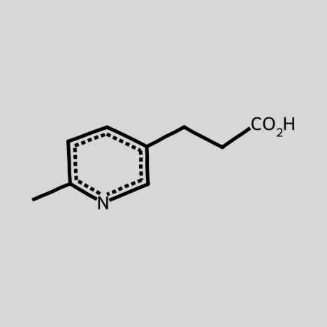 Cc1ccc(CCC(=O)O)cn1